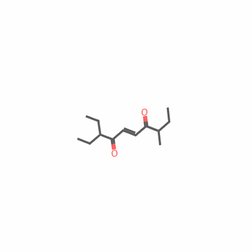 CCC(C)C(=O)C=CC(=O)C(CC)CC